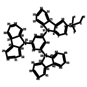 CC[Si](C)(C)c1ccc2c(c1)c1ccccc1n2-c1cc(-n2c3ccccc3c3ccccc32)cc(-n2c3ccccc3c3ccccc32)c1